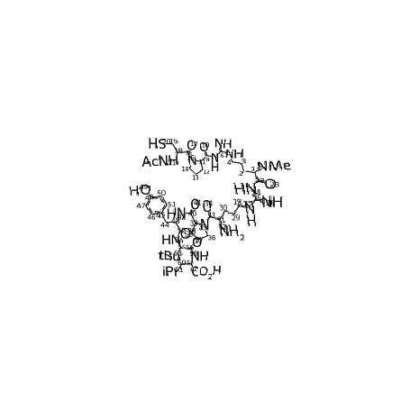 CNC(CCCNC(=N)NC(=O)C1CCCN1C(=O)C(CS)NC(C)=O)C(=O)NC(=N)NCCCC(N)C(=O)N1CCCC1C(=O)NC(Cc1ccc(O)cc1)C(=O)NC(C(=O)NC(CC(C)C)C(=O)O)C(C)(C)C